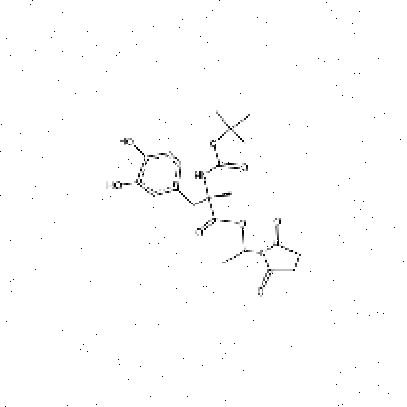 CC(OC(=O)[C@](C)(Cc1ccc(O)c(O)c1)NC(=O)OC(C)(C)C)N1C(=O)CCC1=O